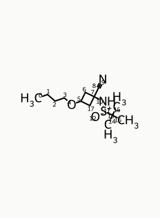 CCCCOC1CC(C#N)(N[S+]([O-])C(C)(C)C)C1